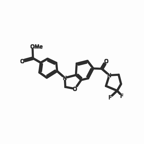 COC(=O)c1ccc(N2COc3cc(C(=O)N4CCC(F)(F)C4)ccc32)cc1